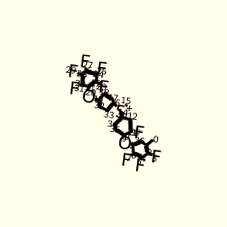 Cc1c(F)c(F)c(F)c(Oc2ccc([S+](C)c3ccc(Oc4c(F)c(F)c(F)c(F)c4F)cc3)cc2)c1F